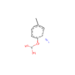 Cc1ccc(OB(O)O)cc1.N